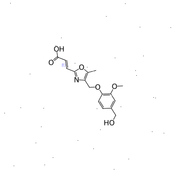 COc1cc(CO)ccc1OCc1nc(/C=C/C(=O)O)oc1C